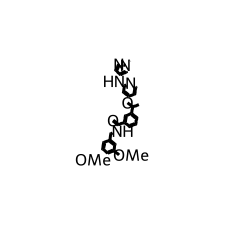 COc1ccc(CNC(=O)c2cccc(C(C)Oc3ccnc(Nc4cnn(C)c4)c3)c2)cc1OC